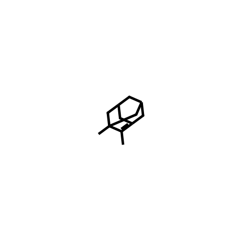 CC1=C2CC3CC(C2)CC1(C)C3